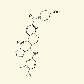 Cc1cc(NC(C2CCCC2)C2CCc3nc(C(=O)N4CCC(O)CC4)ccc3C2N)ccc1C#N